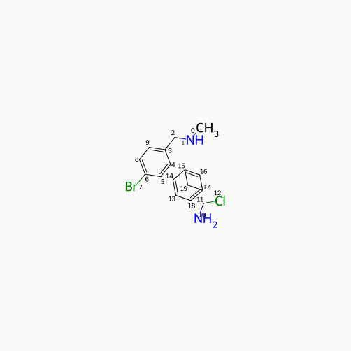 CNCc1ccc(Br)cc1.NCCl.c1cc2cc(c1)C2